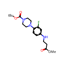 COC(=O)CCNc1ccc(N2CCN(C(=O)OC(C)(C)C)CC2)c(F)c1